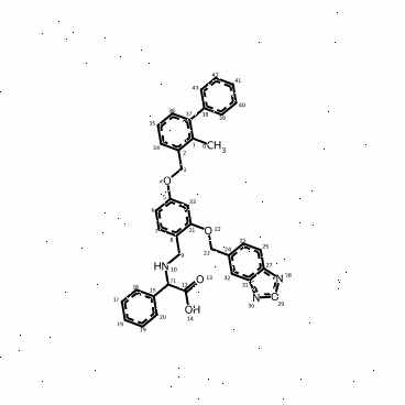 Cc1c(COc2ccc(CNC(C(=O)O)c3ccccc3)c(OCc3ccc4nonc4c3)c2)cccc1-c1ccccc1